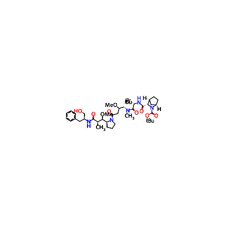 CC[C@H](C)[C@@H]([C@@H](CC(=O)N1CCC[C@H]1[C@H](OC)[C@@H](C)C(=O)N[C@H](CO)Cc1ccccc1)OC)N(C)C(=O)[C@@H](NC(=O)[C@@H]1[C@H]2CC[C@H](C2)N1C(=O)OC(C)(C)C)C(C)C